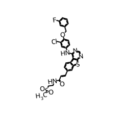 CS(=O)(=O)CCNC(=O)C=Cc1ccc2c(c1)sc1ncnc(Nc3ccc(OCc4cccc(F)c4)c(Cl)c3)c12